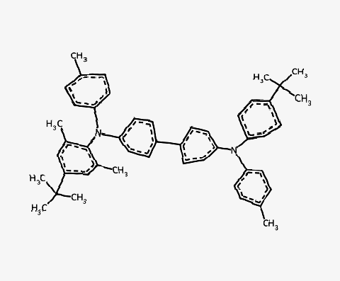 Cc1ccc(N(c2ccc(-c3ccc(N(c4ccc(C)cc4)c4c(C)cc(C(C)(C)C)cc4C)cc3)cc2)c2ccc(C(C)(C)C)cc2)cc1